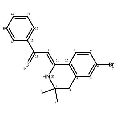 CC1(C)Cc2cc(Br)ccc2C(=CC(=O)c2ccccc2)N1